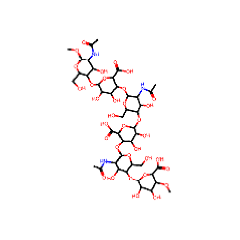 COC1OC(CO)C(OC2OC(C(=O)O)C(OC3OC(CO)C(OC4OC(C(=O)O)C(OC5OC(CO)C(OC6OC(C(=O)O)C(OC)C(O)C6O)C(O)C5NC(C)=O)C(O)C4O)C(O)C3NC(C)=O)C(O)C2O)C(O)C1NC(C)=O